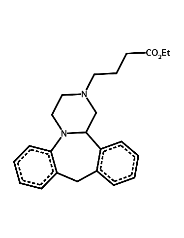 CCOC(=O)CCCN1CCN2c3ccccc3Cc3ccccc3C2C1